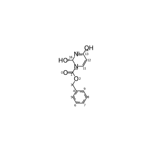 O=C(OCc1ccccc1)N1C=CC(O)=NC1O